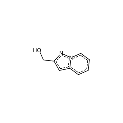 OCc1cc2ccccn2n1